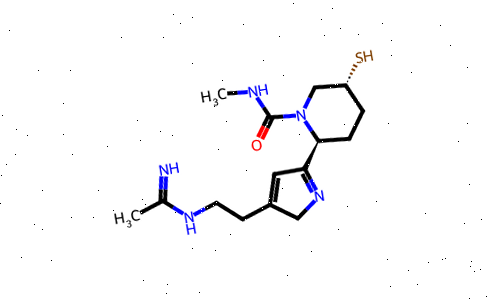 CNC(=O)N1C[C@H](S)CC[C@H]1C1=NCC(CCNC(C)=N)=C1